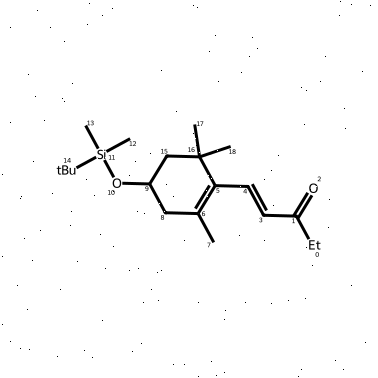 CCC(=O)C=CC1=C(C)CC(O[Si](C)(C)C(C)(C)C)CC1(C)C